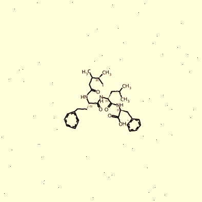 CC(C)C[C@H](NC(=O)[C@H](CCc1ccccc1)NC(=O)CC(C)[C@@H](C)I)C(=O)N[C@@H](Cc1ccccc1)C(=O)O